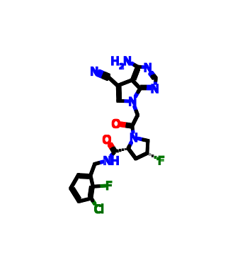 N#Cc1cn(CC(=O)N2C[C@H](F)C[C@@H]2C(=O)NCc2cccc(Cl)c2F)c2ncnc(N)c12